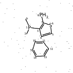 CP(C)c1ccsc1P.c1ccccc1